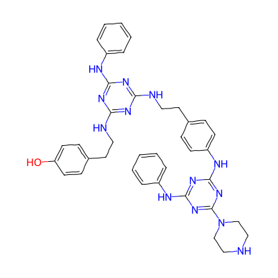 Oc1ccc(CCNc2nc(NCCc3ccc(Nc4nc(Nc5ccccc5)nc(N5CCNCC5)n4)cc3)nc(Nc3ccccc3)n2)cc1